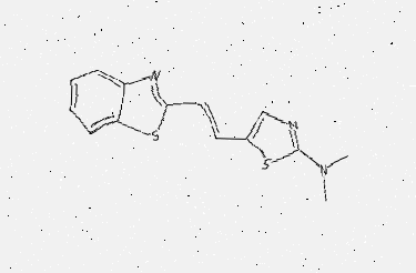 CN(C)c1ncc(C=Cc2nc3ccccc3s2)s1